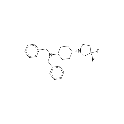 FC1(F)CCN([C@H]2CC[C@H](N(Cc3ccccc3)Cc3ccccc3)CC2)C1